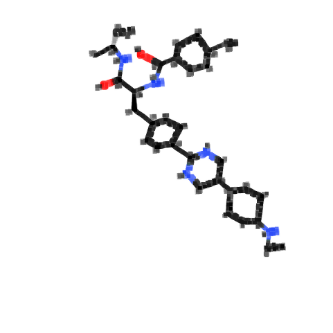 CCCCCCNc1ccc(-c2cnc(-c3ccc(C[C@H](NC(=O)c4ccc(C(C)(C)C)cc4)C(=O)N[C@H](C)C(=O)O)cc3)nc2)cc1